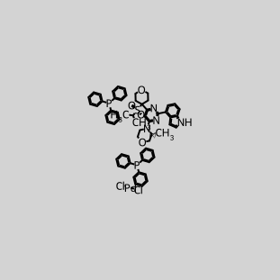 CC(C)S(=O)(=O)C1(c2cc(N3CCOC[C@H]3C)nc(-c3cccc4[nH]ccc34)n2)CCOCC1.[Cl][Pd][Cl].c1ccc(P(c2ccccc2)c2ccccc2)cc1.c1ccc(P(c2ccccc2)c2ccccc2)cc1